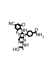 C[C@@H](CO)Nc1ncc2nc(Nc3c(F)cc(C#N)cc3Cl)n(C3CCC(C(N)=O)CC3)c2n1